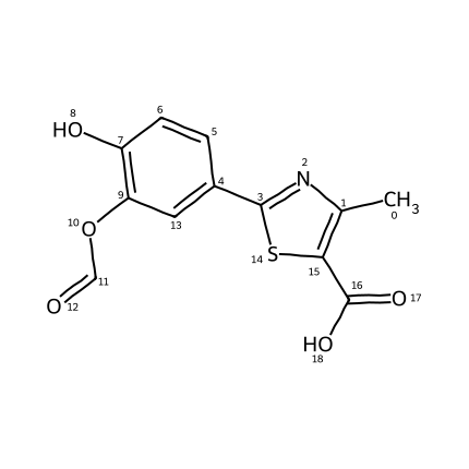 Cc1nc(-c2ccc(O)c(OC=O)c2)sc1C(=O)O